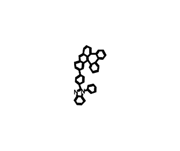 c1ccc(-n2c(-c3ccc(-c4ccc5cc6cccc7c6c(c5c4)-c4ccccc4-c4ccccc4-7)cc3)nc3ccccc32)cc1